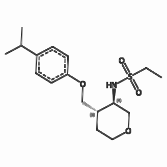 CCS(=O)(=O)N[C@H]1COCC[C@@H]1COc1ccc(C(C)C)cc1